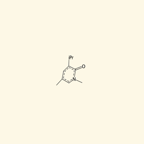 Cc1cc(C(C)C)c(=O)n(C)c1